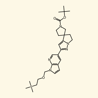 CC(C)(C)OC(=O)N1CCC2(CCn3nc(-c4cnc5c(ccn5COCCS(C)(C)C)c4)cc32)C1